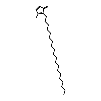 C=C1C=CC(C)=C1CCCCCCCCCCCCCCCCCCCC